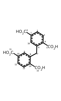 O=C(O)c1ccc(C(=O)O)c([CH]c2cc(C(=O)O)ccc2C(=O)O)c1